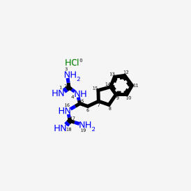 Cl.N=C(N)NC(CC1Cc2ccccc2C1)NC(=N)N